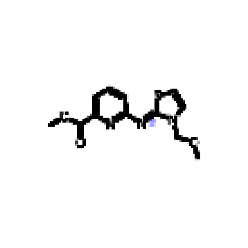 COCn1ccs/c1=N\c1cccc(C(=O)OC)n1